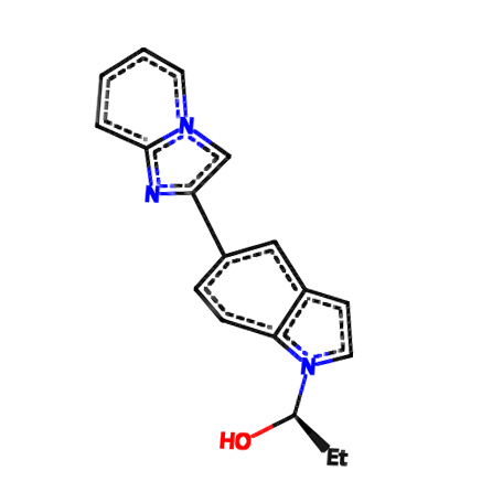 CC[C@@H](O)n1ccc2cc(-c3cn4ccccc4n3)ccc21